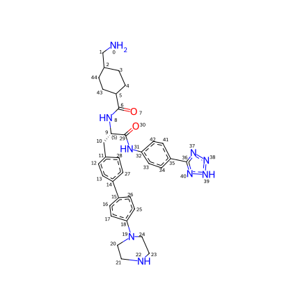 NCC1CCC(C(=O)N[C@@H](Cc2ccc(-c3ccc(N4CCNCC4)cc3)cc2)C(=O)Nc2ccc(-c3nn[nH]n3)cc2)CC1